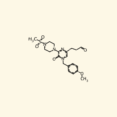 COc1ccc(Cn2cc(CCC=O)nc(N3CCN(S(C)(=O)=O)CC3)c2=O)cc1